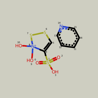 O=S(=O)(O)C1=CSS[N+]1(O)O.c1ccncc1